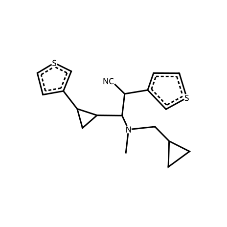 CN(CC1CC1)C(C(C#N)c1ccsc1)C1CC1c1ccsc1